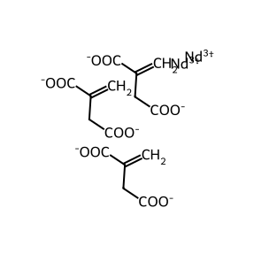 C=C(CC(=O)[O-])C(=O)[O-].C=C(CC(=O)[O-])C(=O)[O-].C=C(CC(=O)[O-])C(=O)[O-].[Nd+3].[Nd+3]